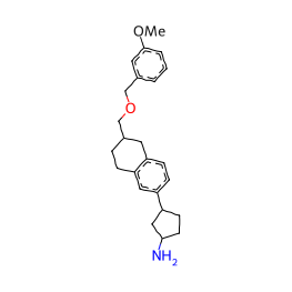 COc1cccc(COCC2CCc3cc(C4CCC(N)C4)ccc3C2)c1